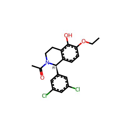 CCOc1ccc2c(c1O)CCN(C(C)=O)[C@@H]2c1cc(Cl)cc(Cl)c1